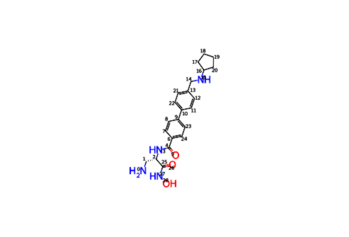 NC[C@H](NC(=O)c1ccc(-c2ccc(CNC3CCCC3)cc2)cc1)C(=O)NO